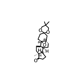 CC1(C)COC2(CC[C@]34O[C@]3(CC[C@@H]3C4=CC[C@]4(C)C(=O)CC[C@@H]34)C2)OC1